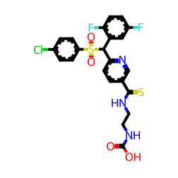 O=C(O)NCCNC(=S)c1ccc(C(c2cc(F)ccc2F)S(=O)(=O)c2ccc(Cl)cc2)nc1